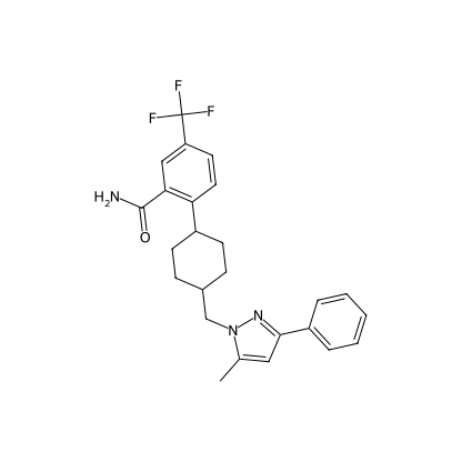 Cc1cc(-c2ccccc2)nn1CC1CCC(c2ccc(C(F)(F)F)cc2C(N)=O)CC1